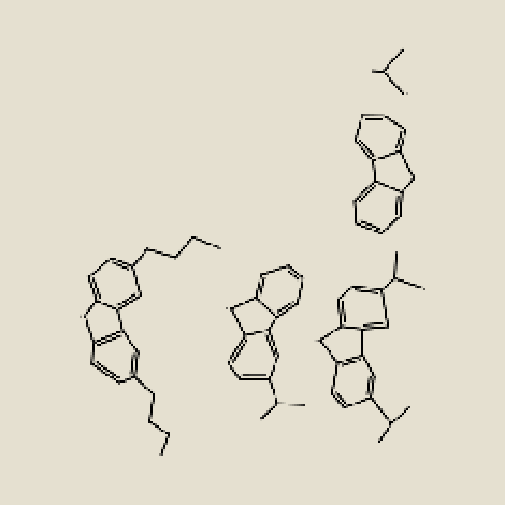 CC(C)c1ccc2c(c1)-c1cc(C(C)C)ccc1[CH]2.CC(C)c1ccc2c(c1)-c1ccccc1[CH]2.CCCCc1ccc2c(c1)-c1cc(CCCC)ccc1[CH]2.[CH2]C(C)C.[CH]1c2ccccc2-c2ccccc21